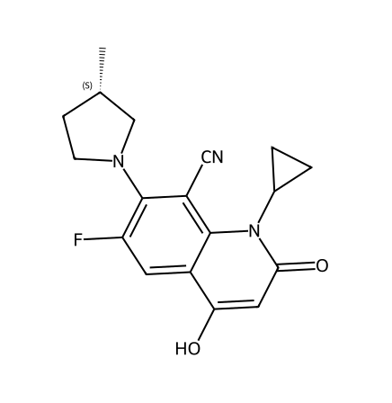 C[C@H]1CCN(c2c(F)cc3c(O)cc(=O)n(C4CC4)c3c2C#N)C1